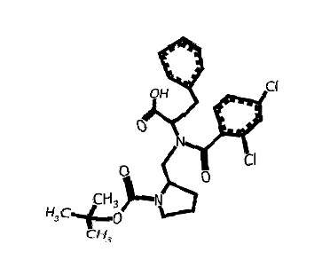 CC(C)(C)OC(=O)N1CCCC1CN(C(=O)c1ccc(Cl)cc1Cl)C(Cc1ccccc1)C(=O)O